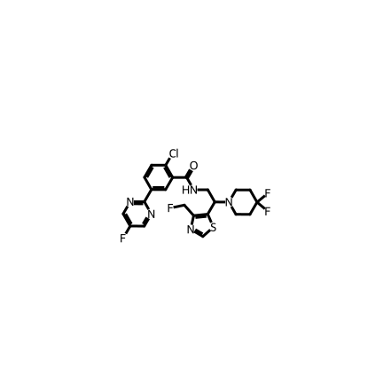 O=C(NCC(c1scnc1CF)N1CCC(F)(F)CC1)c1cc(-c2ncc(F)cn2)ccc1Cl